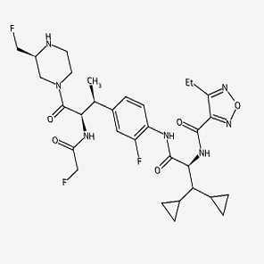 CCc1nonc1C(=O)N[C@H](C(=O)Nc1ccc([C@H](C)[C@@H](NC(=O)CF)C(=O)N2CCN[C@H](CF)C2)cc1F)C(C1CC1)C1CC1